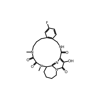 CN1CCCc2cc(F)ccc2CNC(=O)c2nc3n(c(=O)c2O)CCCCC3N(C)C(=O)C1=O